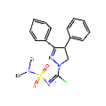 CCN(CC)S(=O)(=O)/N=C(/Cl)N1CC(c2ccccc2)C(c2ccccc2)=N1